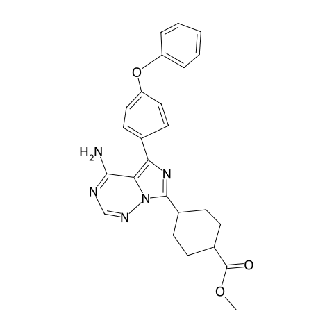 COC(=O)C1CCC(c2nc(-c3ccc(Oc4ccccc4)cc3)c3c(N)ncnn23)CC1